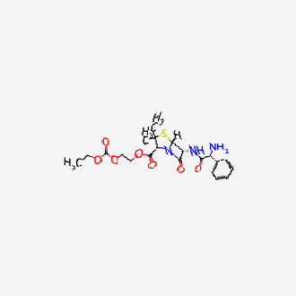 CCOC(=O)OCCOC(=O)[C@@H]1N2C(=O)[C@@H](NC(=O)C(N)c3ccccc3)[C@H]2SC1(C)C